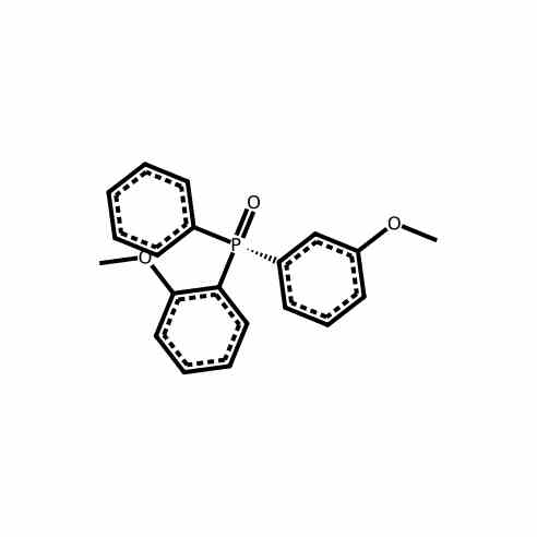 COc1cccc([P@@](=O)(c2ccccc2)c2ccccc2OC)c1